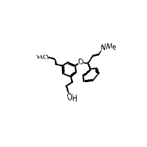 CNCCC(Oc1cc(CCO)cc(CCO)c1)c1ccccc1